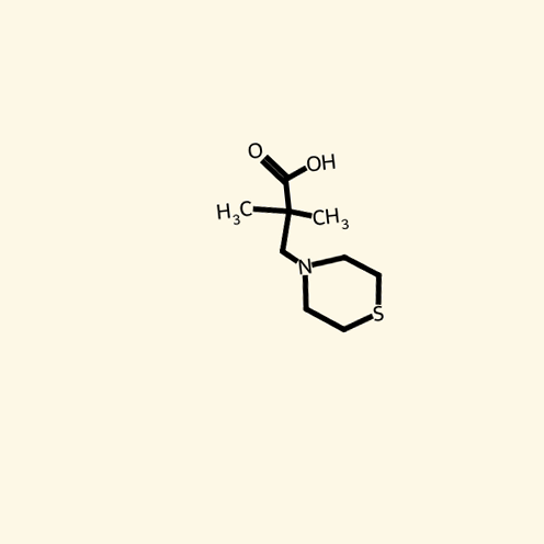 CC(C)(CN1CCSCC1)C(=O)O